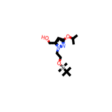 CC(C)Oc1cc(CO)n(CCO[Si](C)(C)C(C)(C)C)n1